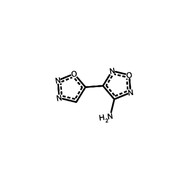 Nc1nonc1-c1cnno1